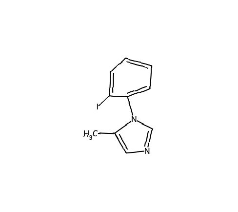 Cc1cncn1-c1ccccc1I